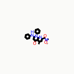 CON(C)C(=O)c1cc(C)c2c(=O)cc(Nc3ccccc3)n(-c3ccccc3)c2n1